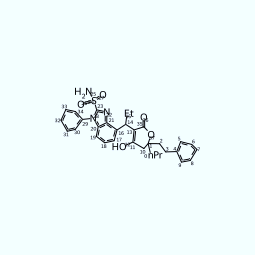 CCCC1(CCc2ccccc2)CC(O)=C(C(CC)c2cccc3c2nc(S(N)(=O)=O)n3-c2ccccc2)C(=O)O1